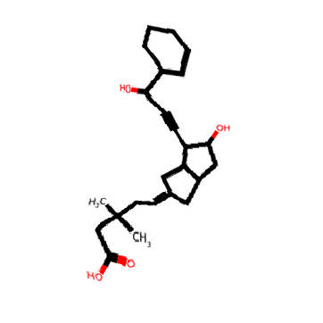 CC(C)(CC=C1CC2CC(O)C(C#CC(O)C3CCCCC3)C2C1)CC(=O)O